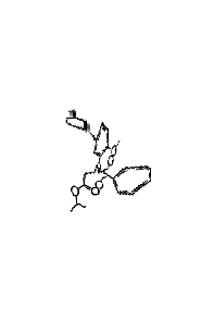 COc1ccc(OC)c(N(CC(=O)OC(C)C)S(=O)(=O)c2ccccc2)c1